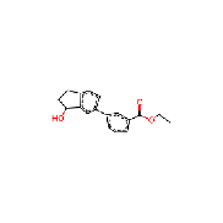 CCOC(=O)c1cccc(-c2ccc3c(c2)C(O)CC3)c1